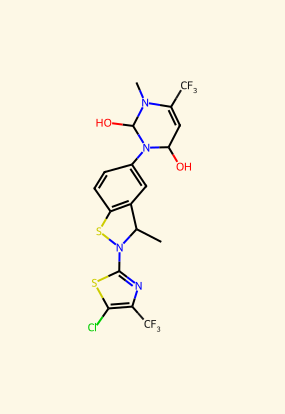 CC1c2cc(N3C(O)C=C(C(F)(F)F)N(C)C3O)ccc2SN1c1nc(C(F)(F)F)c(Cl)s1